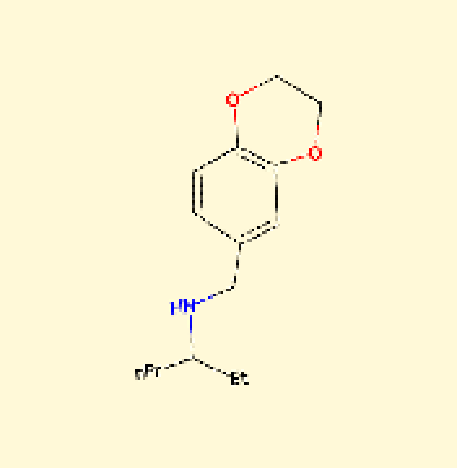 CCCC(CC)NCc1ccc2c(c1)OCCO2